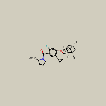 CC1(C)[C@H]2CC[C@H](COc3cc(F)c(C(=O)N4CCC[C@H]4C(=O)O)cc3C3CC3)[C@@H]1C2